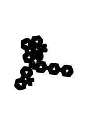 Cc1cc(-c2ccc(-c3ccccc3)cc2)ccc1N(c1ccc2c(c1)C(C)(C)c1ccccc1-2)c1ccc2c(c1)C1(c3ccccc3-2)c2ccccc2[Si](C)(C)c2ccccc21